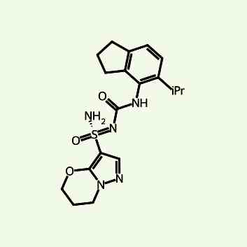 CC(C)c1ccc2c(c1NC(=O)N=[S@](N)(=O)c1cnn3c1OCCC3)CCC2